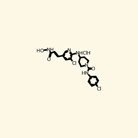 Cl.O=C(C=Cc1cnc(NC2CCN(C(=O)Nc3ccc(Cl)cc3)CC2)c(Cl)c1)NO